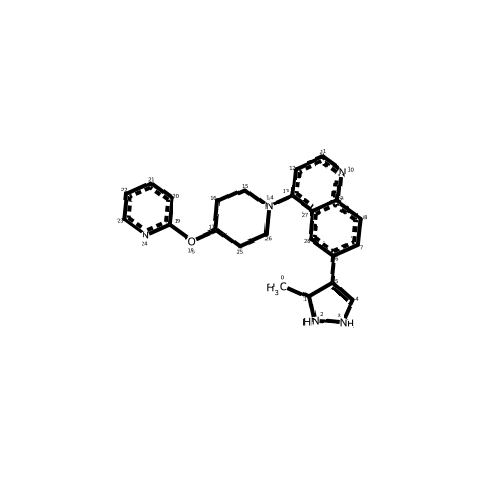 CC1NNC=C1c1ccc2nccc(N3CCC(Oc4ccccn4)CC3)c2c1